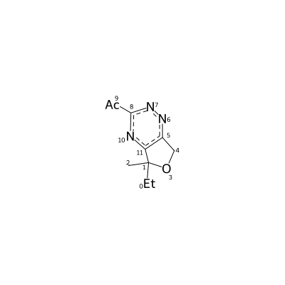 CCC1(C)OCc2nnc(C(C)=O)nc21